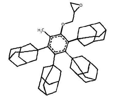 Cc1c(OCC2CO2)c(C23CC4CC(CC(C4)C2)C3)c(C23CC4CC(CC(C4)C2)C3)c(C23CC4CC(CC(C4)C2)C3)c1C12CC3CC(CC(C3)C1)C2